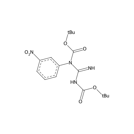 CC(C)(C)OC(=O)NC(=N)N(C(=O)OC(C)(C)C)c1cccc([N+](=O)[O-])c1